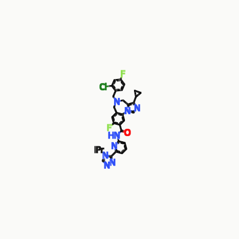 CC(C)n1cnnc1-c1cccc(NC(=O)c2cc3c(cc2F)CN(Cc2ccc(F)cc2Cl)Cc2c(C4CC4)ncn2-3)n1